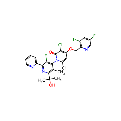 Cc1c(C(C)(C)O)nc(-c2ccccn2)c(F)c1-n1c(C)cc(OCc2ncc(F)cc2F)c(Cl)c1=O